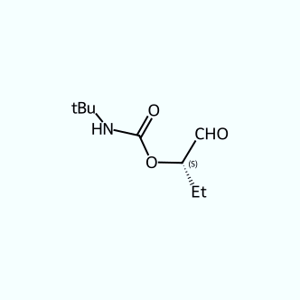 CC[C@@H](C=O)OC(=O)NC(C)(C)C